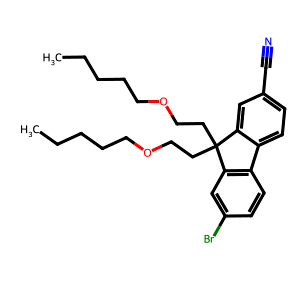 CCCCCOCCC1(CCOCCCCC)c2cc(Br)ccc2-c2ccc(C#N)cc21